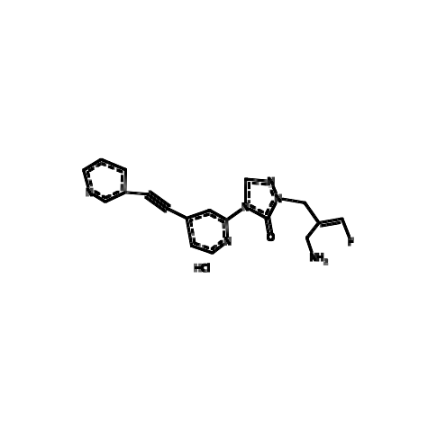 Cl.NC/C(=C\F)Cn1ncn(-c2cc(C#Cc3cccnc3)ccn2)c1=O